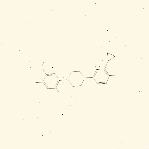 COc1cc(N2CCN(c3ccc(Cl)c(C4CC4)c3)CC2)c(F)cc1N